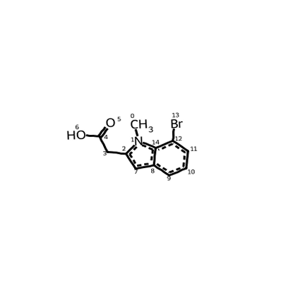 Cn1c(CC(=O)O)cc2cccc(Br)c21